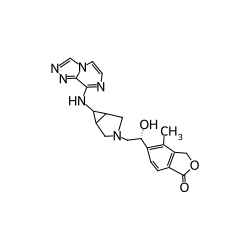 Cc1c([C@@H](O)CN2CC3C(C2)C3Nc2nccn3cnnc23)ccc2c1COC2=O